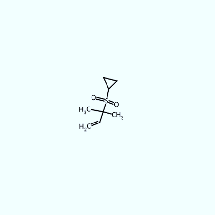 C=CC(C)(C)S(=O)(=O)C1CC1